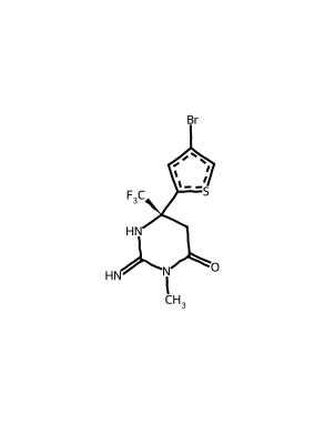 CN1C(=N)N[C@@](c2cc(Br)cs2)(C(F)(F)F)CC1=O